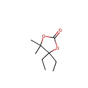 CCC1(CC)OC(=O)OC1(C)C